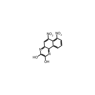 O=[N+]([O-])c1cccc2c1c([N+](=O)[O-])cc1nc(O)c(O)nc12